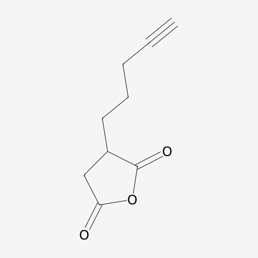 C#CCCCC1CC(=O)OC1=O